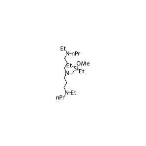 CCCN(CC)CCCN(CCCN(CC)CCC)C[Si](CC)(CC)OC